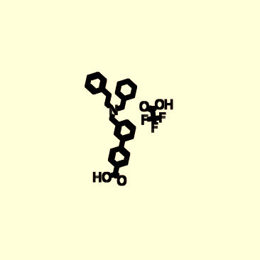 O=C(O)C(F)(F)F.O=C(O)c1ccc(-c2cccc(CN(CCc3ccccc3)CC3CCCCC3)c2)cc1